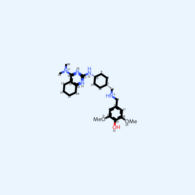 COc1cc(CNC[C@H]2CC[C@@H](Nc3nc4c(c(N(C)C)n3)CCCC4)CC2)cc(OC)c1O